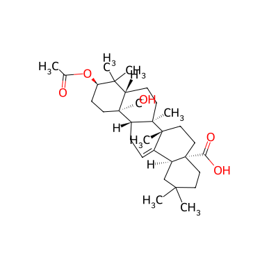 CC(=O)O[C@@H]1CC[C@]2(CO)[C@H]3CC=C4[C@@H]5CC(C)(C)CC[C@]5(C(=O)O)CC[C@@]4(C)[C@]3(C)CC[C@H]2C1(C)C